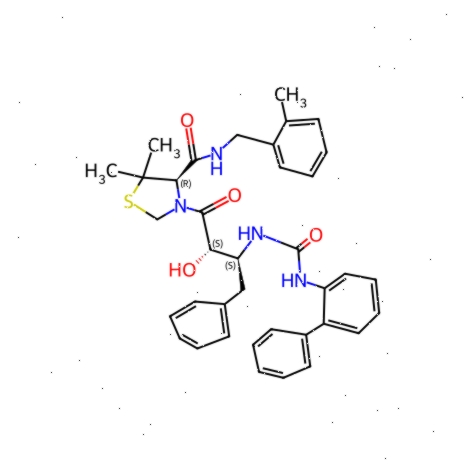 Cc1ccccc1CNC(=O)[C@H]1N(C(=O)[C@@H](O)[C@H](Cc2ccccc2)NC(=O)Nc2ccccc2-c2ccccc2)CSC1(C)C